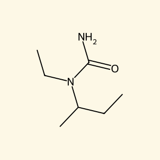 CCC(C)N(CC)C(N)=O